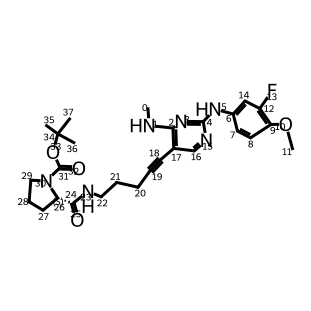 CNc1nc(Nc2ccc(OC)c(F)c2)ncc1C#CCCCNC(=O)[C@@H]1CCCN1C(=O)OC(C)(C)C